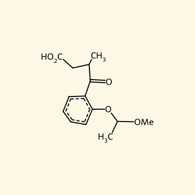 COC(C)Oc1ccccc1C(=O)C(C)CC(=O)O